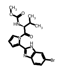 COC(=O)N[C@H](C(=O)n1cccc1-c1nc2ccc(Br)cc2[nH]1)C(C)C